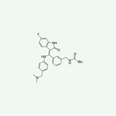 CN(C)Cc1ccc(NC(=C2C(=O)Nc3cc(F)ccc32)c2cccc(CNC(=O)C(C)(C)C)c2)cc1